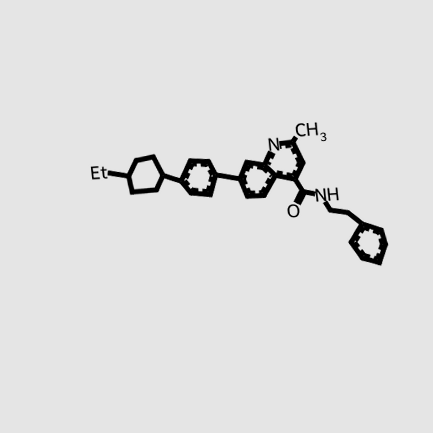 CCC1CCC(c2ccc(-c3ccc4c(C(=O)NCCc5ccccc5)cc(C)nc4c3)cc2)CC1